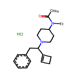 CCN(C(=O)OC)C1CCN(C(Cc2ccccc2)C2=CCC2)CC1.Cl